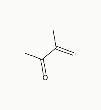 [CH]=C(C)C(C)=O